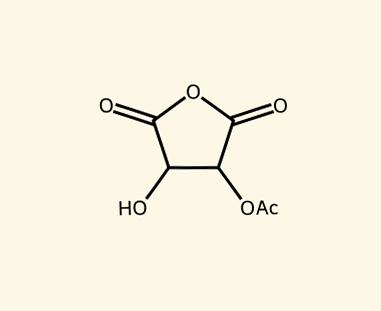 CC(=O)OC1C(=O)OC(=O)C1O